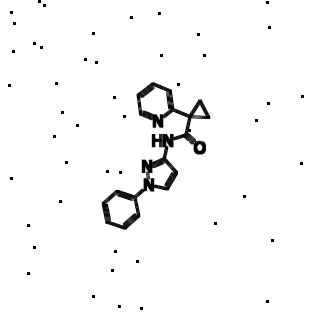 O=C(Nc1ccn(-c2ccccc2)n1)C1(c2ccccn2)CC1